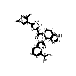 Cc1nn(C)cc1-c1nnc(C(=O)N2CCc3[nH]cnc3[C@@H]2c2cc3cccc(C(F)F)n3n2)o1